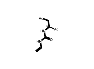 C=CNC(=O)N[C@@H](CC(C)=O)C(C)=O